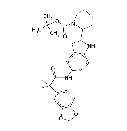 CC(C)(C)OC(=O)N1CCCCC1C1Cc2cc(NC(=O)C3(c4ccc5c(c4)OCO5)CC3)ccc2N1